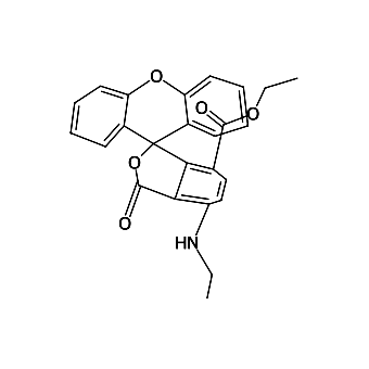 CCNc1ccc(C(=O)OCC)c2c1C(=O)OC21c2ccccc2Oc2ccccc21